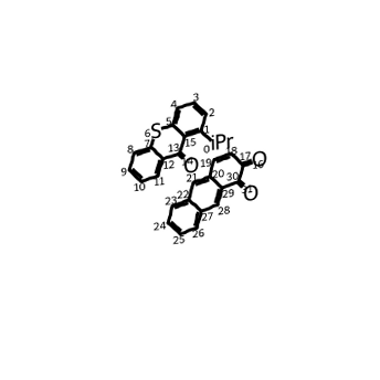 CC(C)c1cccc2sc3ccccc3c(=O)c12.O=C1C=Cc2cc3ccccc3cc2C1=O